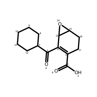 O=C(O)C1=C(C(=O)C2CCCCC2)C2OC2CC1